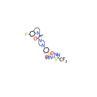 C[C@@H](C(=O)N1CCN(c2ccc(S(=O)(=O)Nc3nnc(C(F)(F)F)s3)cc2)CC1)N1CCCc2cc(F)ccc21